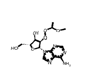 COC(C)OO[C@@H]1[C@H](O)[C@@H](CO)O[C@H]1n1cnc2c(N)ncnc21